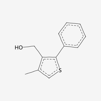 Cc1csc(-c2ccccc2)c1CO